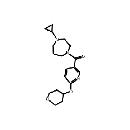 O=C(c1ccc(OC2CCOCC2)nc1)N1CCCN(C2CC2)CC1